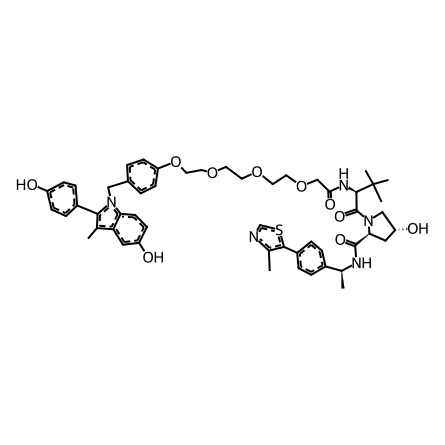 Cc1ncsc1-c1ccc([C@H](C)NC(=O)[C@@H]2C[C@@H](O)CN2C(=O)[C@@H](NC(=O)COCCOCCOCCOc2ccc(Cn3c(-c4ccc(O)cc4)c(C)c4cc(O)ccc43)cc2)C(C)(C)C)cc1